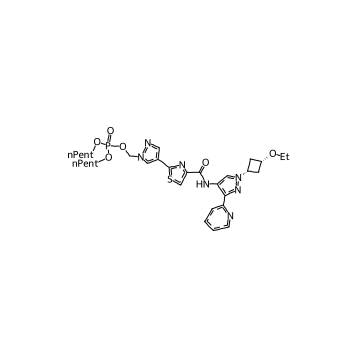 CCCCCOP(=O)(OCCCCC)OCn1cc(-c2nc(C(=O)Nc3cn([C@H]4C[C@@H](OCC)C4)nc3-c3ccccn3)cs2)cn1